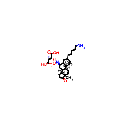 C[C@]12CC[C@H](CCCCCN)CC1/C(=N/O)C[C@@H]1[C@@H]2CC[C@]2(C)C(=O)CC[C@@H]12.O=C(O)/C=C/C(=O)O